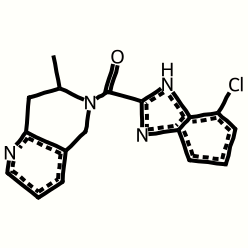 CC1Cc2ncccc2CN1C(=O)c1nc2cccc(Cl)c2[nH]1